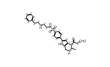 CC1NCc2[nH]c(-c3ccc(S(=O)(=O)NCCNCCc4ccccc4)cc3)cc2N1C(=O)CC=O